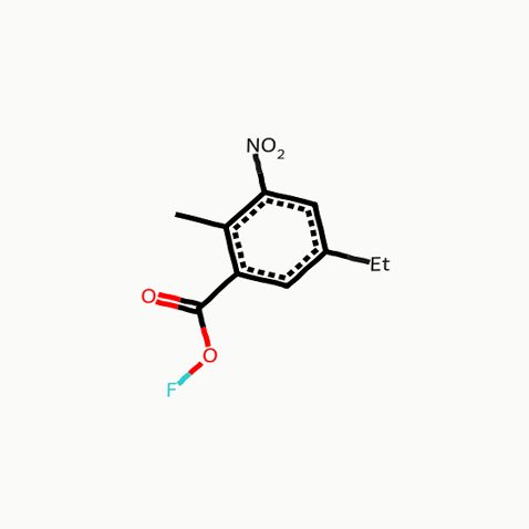 CCc1cc(C(=O)OF)c(C)c([N+](=O)[O-])c1